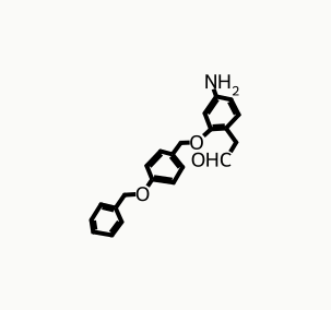 Nc1ccc(CC=O)c(OCc2ccc(OCc3ccccc3)cc2)c1